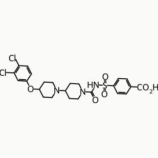 O=C(O)c1ccc(S(=O)(=O)NC(=O)N2CCC(N3CCC(Oc4ccc(Cl)c(Cl)c4)CC3)CC2)cc1